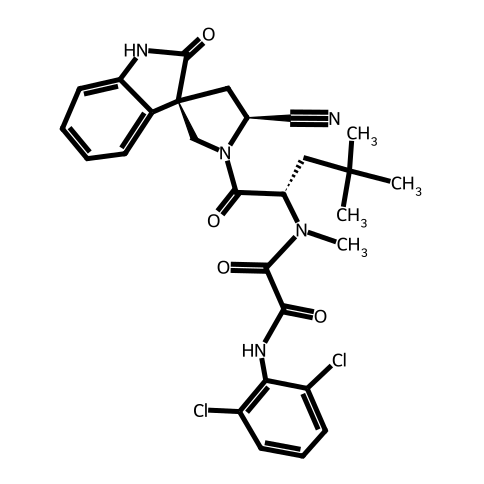 CN(C(=O)C(=O)Nc1c(Cl)cccc1Cl)[C@@H](CC(C)(C)C)C(=O)N1C[C@]2(C[C@H]1C#N)C(=O)Nc1ccccc12